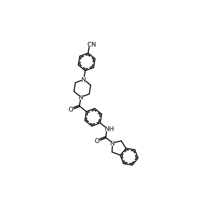 N#Cc1ccc(N2CCN(C(=O)c3ccc(NC(=O)N4Cc5ccccc5C4)cc3)CC2)cc1